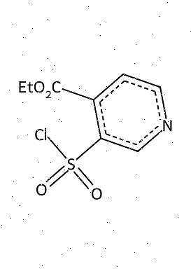 CCOC(=O)c1ccncc1S(=O)(=O)Cl